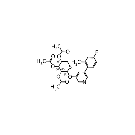 CC(=O)O[C@@H]1[C@@H](OC(C)=O)[C@H](OC(C)=O)CS[C@H]1Oc1cncc(-c2ccc(F)cc2C)c1